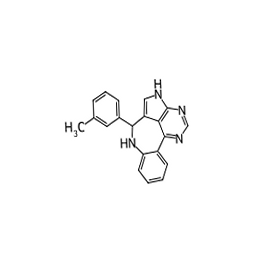 Cc1cccc(C2Nc3ccccc3-c3ncnc4[nH]cc2c34)c1